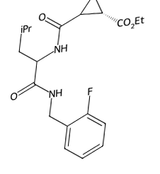 CCOC(=O)[C@H]1OC1C(=O)NC(CC(C)C)C(=O)NCc1ccccc1F